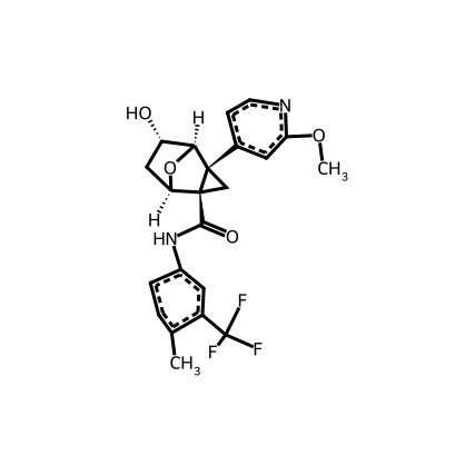 COc1cc([C@@]23C[C@]2(C(=O)Nc2ccc(C)c(C(F)(F)F)c2)[C@H]2C[C@H](O)[C@@H]3O2)ccn1